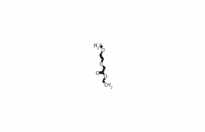 CCOC(=O)COCCOC